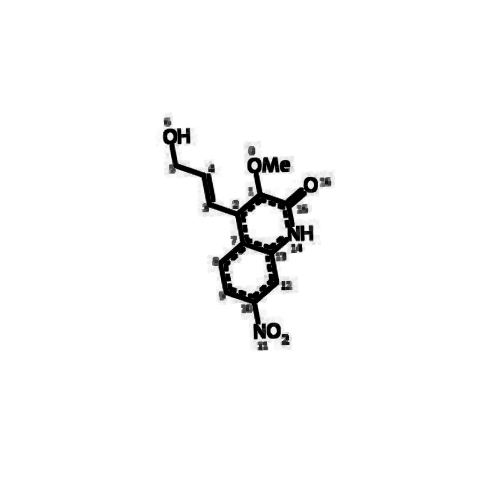 COc1c(C=CCO)c2ccc([N+](=O)[O-])cc2[nH]c1=O